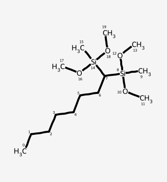 CCCCCCCC([Si](C)(OC)OC)[Si](C)(OC)OC